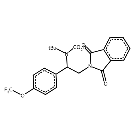 CC(C)(C)N(C(=O)O)C(CN1C(=O)c2ccccc2C1=O)c1ccc(OC(F)(F)F)cc1